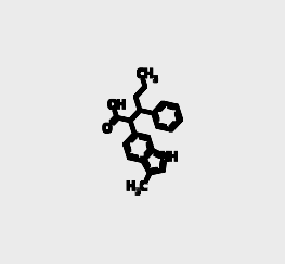 CCCC(c1ccccc1)C(C(=O)O)c1ccc2c(C)c[nH]c2c1